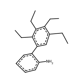 CCc1cc(-c2ccccc2N)c(CC)c(CC)c1CC